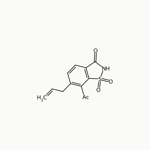 C=CCc1ccc2c(c1C(C)=O)S(=O)(=O)NC2=O